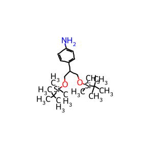 CC(C)(C)[Si](C)(C)OCC(CO[Si](C)(C)C(C)(C)C)c1ccc(N)cc1